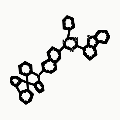 c1ccc(-c2nc(-c3ccc4cc(N5c6ccccc6C6(c7ccccc7-c7ccccc76)c6ccccc65)ccc4c3)nc(-c3cccc4c3sc3ccccc34)n2)cc1